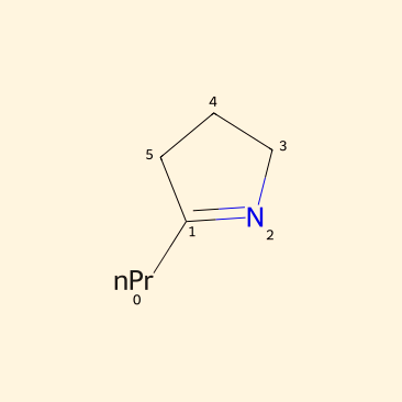 CCCC1=NCCC1